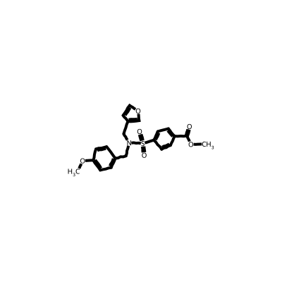 COC(=O)c1ccc(S(=O)(=O)N(Cc2ccc(OC)cc2)Cc2ccoc2)cc1